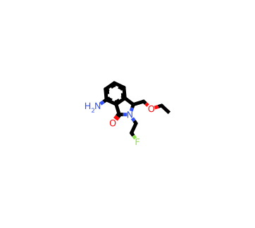 CCOCC1c2cccc(N)c2C(=O)N1CCF